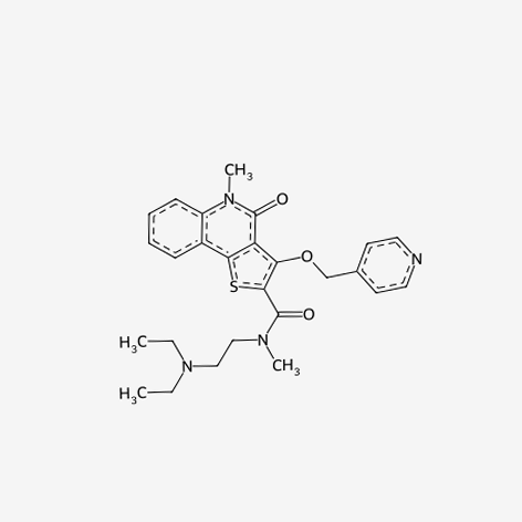 CCN(CC)CCN(C)C(=O)c1sc2c(c1OCc1ccncc1)c(=O)n(C)c1ccccc21